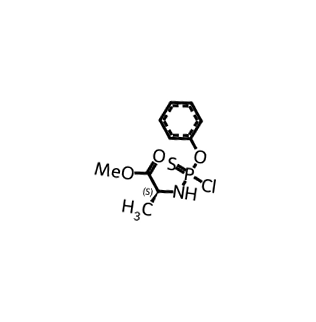 COC(=O)[C@H](C)NP(=S)(Cl)Oc1ccccc1